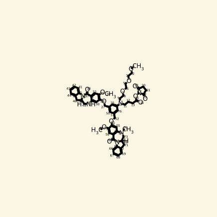 COCCOCCOCCN(CCCC(=O)ON1C(=O)CCC1=O)c1cc(COc2cc3c(cc2OC)C(=O)N2c4ccccc4C[C@H]2CN3)cc(COc2cc3c(cc2OC)C(=O)N2c4ccccc4C[C@H]2CN3C)c1